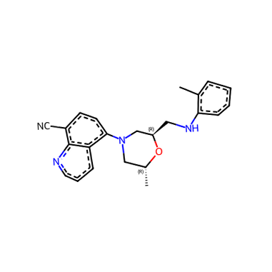 Cc1ccccc1NC[C@@H]1CN(c2ccc(C#N)c3ncccc23)C[C@@H](C)O1